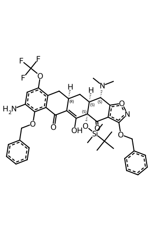 CN(C)[C@@H]1c2onc(OCc3ccccc3)c2C(=O)[C@@]2(O[Si](C)(C)C(C)(C)C)C(O)=C3C(=O)c4c(c(OC(F)(F)F)cc(N)c4OCc4ccccc4)C[C@H]3C[C@@H]12